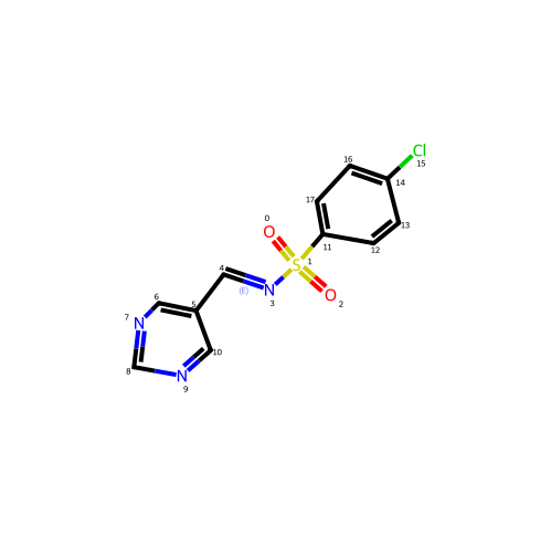 O=S(=O)(/N=C/c1cncnc1)c1ccc(Cl)cc1